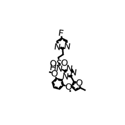 COc1cccc(OC)c1-n1c(NS(=O)(=O)CCc2ncc(F)cn2)nnc1-c1ccc(C)o1